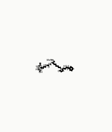 CN/N=N\C(CCCCCCN1C(=O)CC[C@@H]1/C=C/[C@@H](O)C(F)(F)c1ccccc1)=N\COC(=O)NCCCC(O)(OP(O)O)O[PH](=O)O